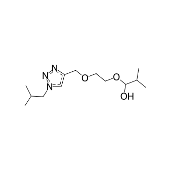 CC(C)Cn1cc(COCCOC(O)C(C)C)nn1